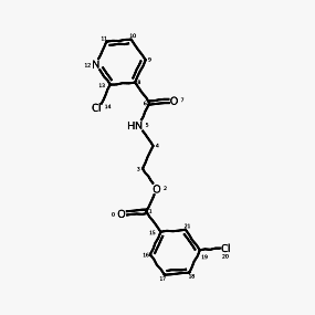 O=C(OCCNC(=O)c1cccnc1Cl)c1cccc(Cl)c1